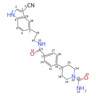 N#Cc1c[nH]c2ccc(CCNC(=O)c3ccc(C4CCN(C(N)=O)CC4)cc3)cc12